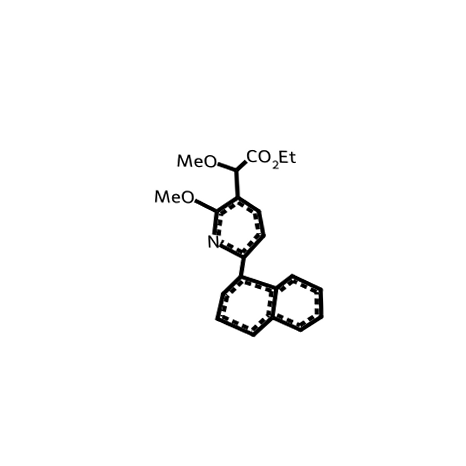 CCOC(=O)C(OC)c1ccc(-c2cccc3ccccc23)nc1OC